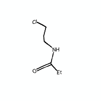 CCC(=O)NCCCl